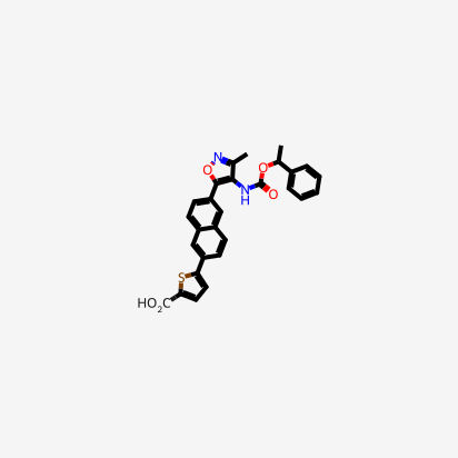 Cc1noc(-c2ccc3cc(-c4ccc(C(=O)O)s4)ccc3c2)c1NC(=O)OC(C)c1ccccc1